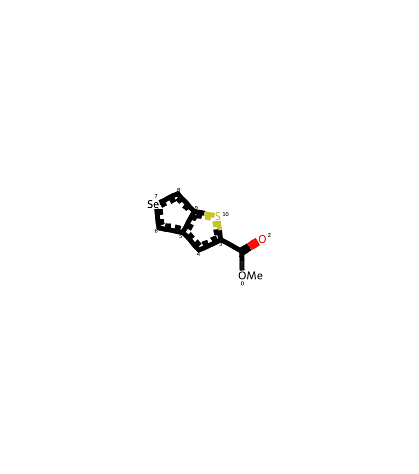 COC(=O)c1cc2c[se]cc2s1